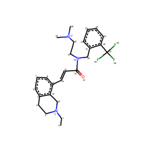 CCN1CCc2cccc(/C=C/C(=O)N(CCN(C)C)Cc3ccccc3C(F)(F)F)c2C1